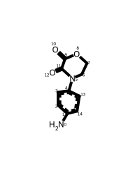 Nc1ccc(N2CCOC(=O)C2=O)cc1